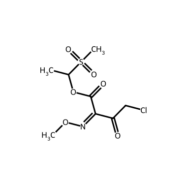 CON=C(C(=O)CCl)C(=O)OC(C)S(C)(=O)=O